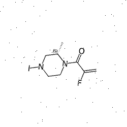 C=C(F)C(=O)N1CCN(I)C[C@@H]1C